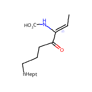 C/C=C(\NC(=O)O)C(=O)CCCCCCCCCC